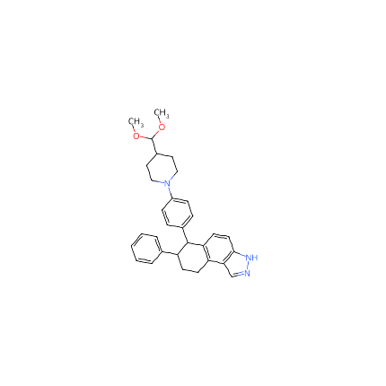 COC(OC)C1CCN(c2ccc(C3c4ccc5[nH]ncc5c4CCC3c3ccccc3)cc2)CC1